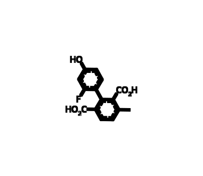 Cc1ccc(C(=O)O)c(-c2ccc(O)cc2F)c1C(=O)O